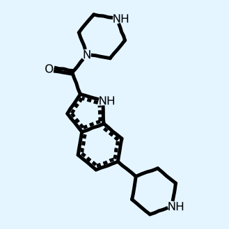 O=C(c1cc2ccc(C3CCNCC3)cc2[nH]1)N1CCNCC1